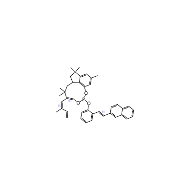 C=C/C(C)=C\C1=C/OP(Oc2ccccc2/C=C/c2ccc3ccccc3c2)Oc2cc(C)cc3c2C(CC1(C)C)CC3(C)C